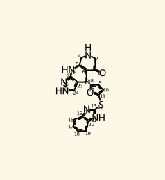 O=C1CNCC2=C1[C@H](c1ccc(Sc3nc4ccccc4[nH]3)o1)c1c[nH]nc1N2